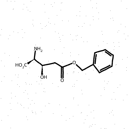 N[C@H](C(=O)O)[C@H](O)CC(=O)OCc1ccccc1